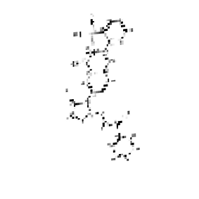 O=C(OCC1COC(=O)N1c1ccc2cc(-c3ccccc3C(F)(F)F)[nH]c(=O)c2c1)c1ccccc1